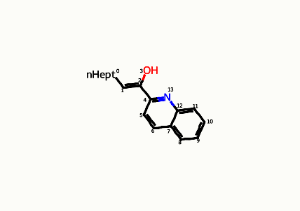 CCCCCCC/C=C(\O)c1ccc2ccccc2n1